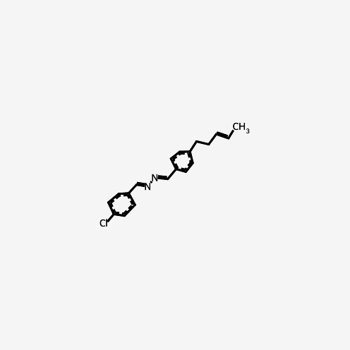 C/C=C/CCc1ccc(/C=N/N=C/c2ccc(Cl)cc2)cc1